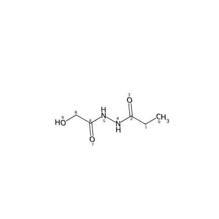 CCC(=O)NNC(=O)CO